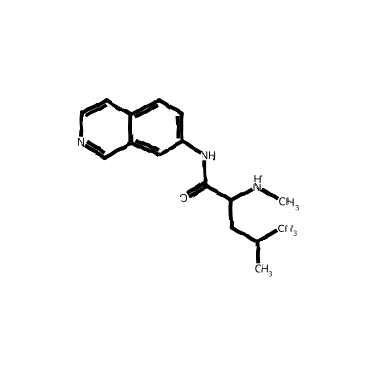 CNC(CC(C)C)C(=O)Nc1ccc2ccncc2c1